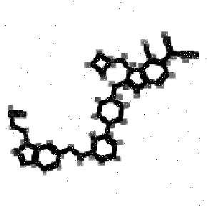 COCCn1ncc2ccc(COc3cccc(C4CCN(Cc5nc6ccc(C(=O)OC)c(F)c6n5C[C@@H]5CCO5)CC4)n3)cc21